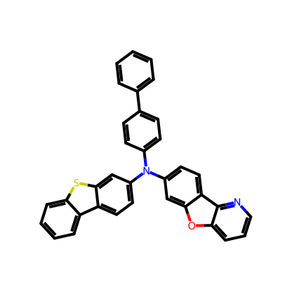 c1ccc(-c2ccc(N(c3ccc4c(c3)oc3cccnc34)c3ccc4c(c3)sc3ccccc34)cc2)cc1